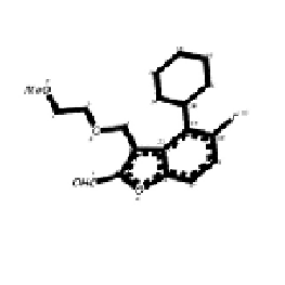 COCCOCc1c(C=O)oc2ccc(F)c(C3CCCCC3)c12